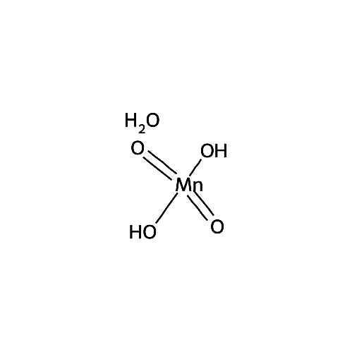 O.[O]=[Mn](=[O])([OH])[OH]